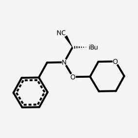 CC[C@@H](C)[C@H](C#N)N(Cc1ccccc1)OC1CCCOC1